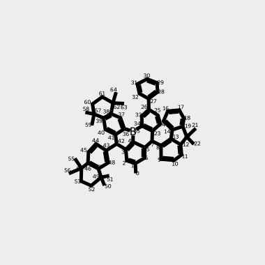 Cc1cc2c3c(c1)C(c1cccc4c1-c1ccccc1C4(C)C)c1ccc(-c4ccccc4)cc1B3c1cc3c(cc1C2c1ccc2c(c1)C(C)(C)CCC2(C)C)C(C)(C)CCC3(C)C